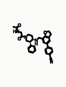 CC(=O)NCC(=O)N1CC[C@H](NCc2cc(-c3ccc(C#N)cc3)cc3c2OCC3)[C@H](c2ccccc2)C1